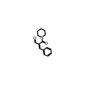 O=[C]C(=Cc1ccccc1)C(=O)N1CCCCC1